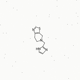 [c]1nc2c(s1)CN(Cc1ncc[nH]1)CC2